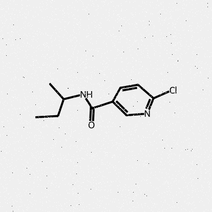 CCC(C)NC(=O)c1ccc(Cl)nc1